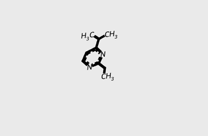 CCc1nccc(C(C)C)n1